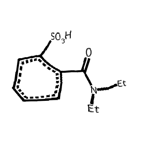 CCN(CC)C(=O)c1ccccc1S(=O)(=O)O